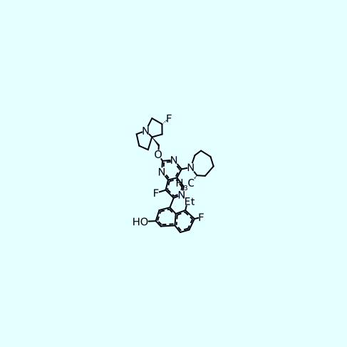 CCc1c(F)ccc2cc(O)cc(-c3ncc4c(N5CCCCC[C@@H]5C)nc(OC[C@@]56CCCN5C[C@H](F)C6)nc4c3F)c12